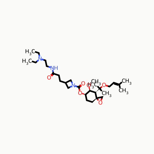 CCN(CC)CCNC(=O)CCC1CN(C(=O)O[C@@H]2CC[C@]3(CO3)[C@@H](C(C)(C)OCC=C(C)C)[C@@H]2OC)C1